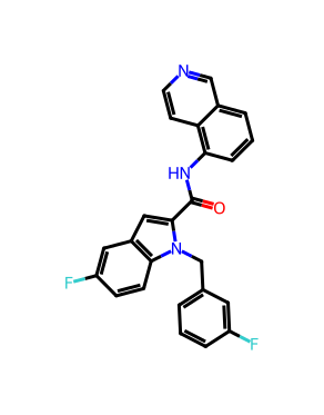 O=C(Nc1cccc2cnccc12)c1cc2cc(F)ccc2n1Cc1cccc(F)c1